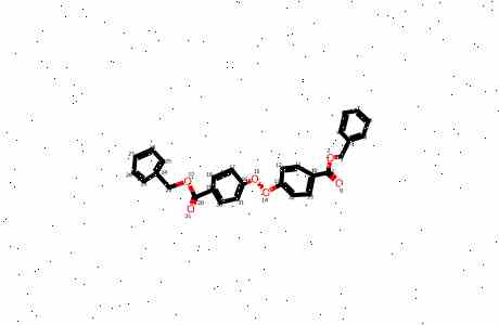 O=C(OCc1ccccc1)c1ccc(OOc2ccc(C(=O)OCc3ccccc3)cc2)cc1